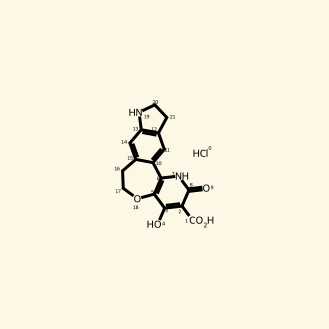 Cl.O=C(O)c1c(O)c2c([nH]c1=O)-c1cc3c(cc1CCO2)NCC3